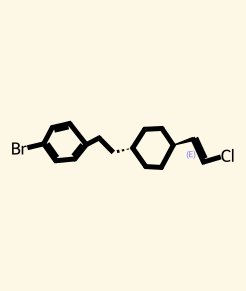 Cl/C=C/[C@H]1CC[C@H](CCc2ccc(Br)cc2)CC1